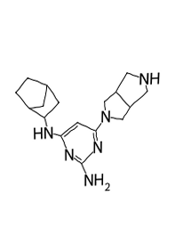 Nc1nc(NC2CC3CCC2C3)cc(N2CC3CNCC3C2)n1